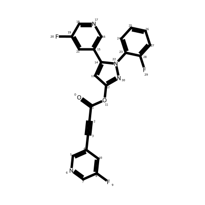 O=C(C#Cc1cncc(F)c1)Oc1cc(-c2cncc(F)c2)n(-c2ccccc2F)n1